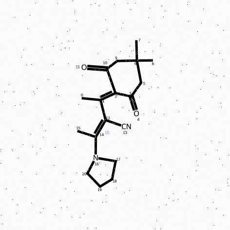 CC(=C1C(=O)CC(C)(C)CC1=O)/C(C#N)=C(\C)N1CCCC1